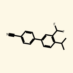 CC(C)c1ccc(-c2ccc(C#N)cc2)cc1C(F)F